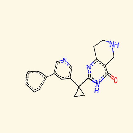 O=c1[nH]c(C2(c3cncc(-c4ccccc4)c3)CC2)nc2c1CNCC2